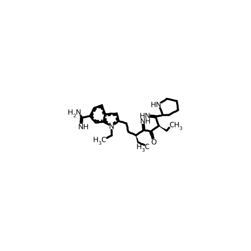 CC[C@@H](CCc1cc2ccc(C(=N)N)cc2n1CC)C(=N)C(=O)[C@H](CC)C(=N)C1CCCCN1